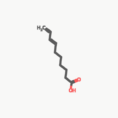 C=CC=CCCCCCC(=O)O